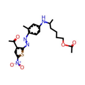 CC(=O)OCCCCC(C)Nc1ccc(N=Nc2sc([N+](=O)[O-])cc2C(C)=O)c(C)c1